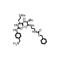 CC[C@H](C)[C@H](NC(=O)[C@H](CCSC)NC(=O)Nc1ccc(CN)cc1)C(=O)NCCNC(=O)OCc1ccccc1